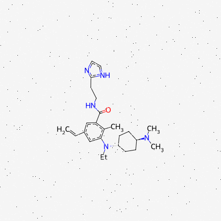 C=Cc1cc(C(=O)NCCc2ncc[nH]2)c(C)c(N(CC)[C@H]2CC[C@H](N(C)C)CC2)c1